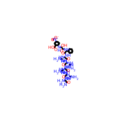 N=C(N)NC(NC(=O)C(NC(=N)N)NC(=O)C(NC(=N)N)NC(=O)C(NC(=N)N)NC(=O)C(NC(=O)C(O)Nc1ccc([N+](=O)[O-])cc1C(=O)O)c1ccccc1)C(=O)NC(N)C(N)=O